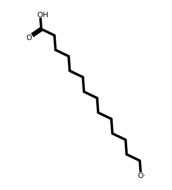 [O]CCCCCCCCCCCCCC(=O)O